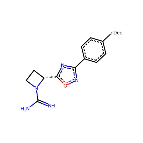 CCCCCCCCCCc1ccc(-c2noc([C@H]3CCN3C(=N)N)n2)cc1